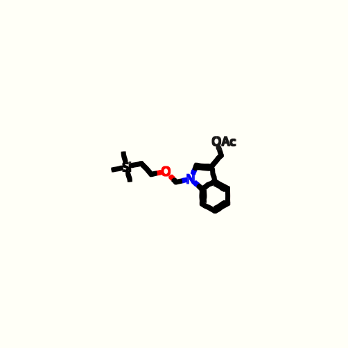 CC(=O)OCc1cn(COCC[Si](C)(C)C)c2ccccc12